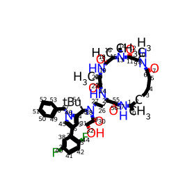 CC1CCCCC(=O)N[C@@H](C)C(=O)N(C)[C@@H](C)C(=O)N[C@@H](C)C(=O)N[C@@H](CCN(C(=O)CO)[C@@H](c2cc(-c3cc(F)ccc3F)cn2Cc2ccccc2)C(C)(C)C)C(=O)N1